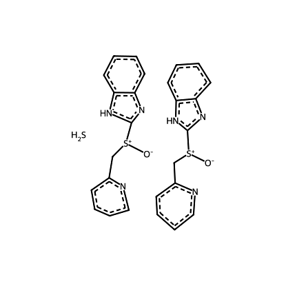 S.[O-][S+](Cc1ccccn1)c1nc2ccccc2[nH]1.[O-][S+](Cc1ccccn1)c1nc2ccccc2[nH]1